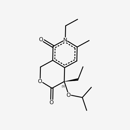 CCn1c(C)cc2c(c1=O)COC(=O)[C@@]2(CC)OC(C)C